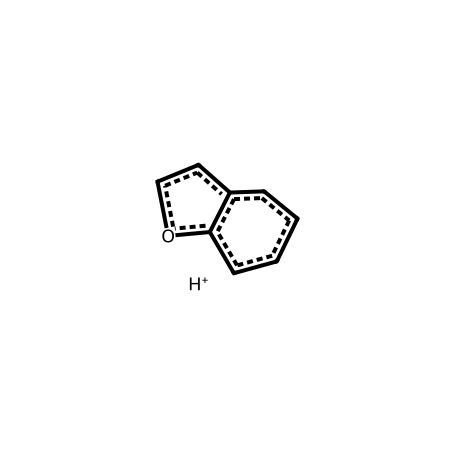 [H+].c1ccc2occc2c1